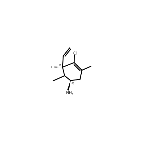 C=C[C@@]1(C)C(Cl)=C(C)C[C@@H](N)C1C